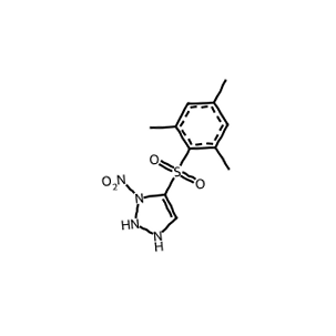 Cc1cc(C)c(S(=O)(=O)C2=CNNN2[N+](=O)[O-])c(C)c1